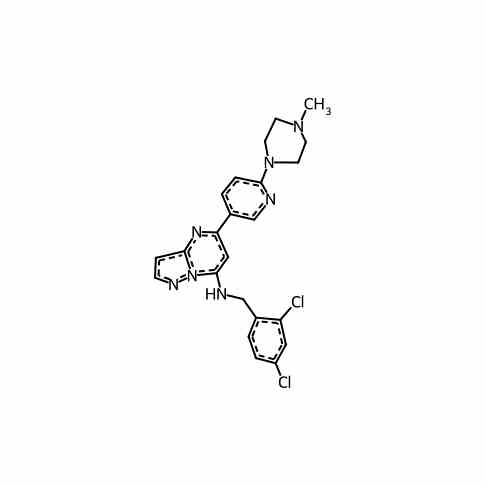 CN1CCN(c2ccc(-c3cc(NCc4ccc(Cl)cc4Cl)n4nccc4n3)cn2)CC1